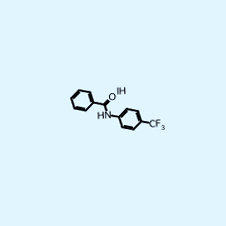 I.O=C(Nc1ccc(C(F)(F)F)cc1)c1ccccc1